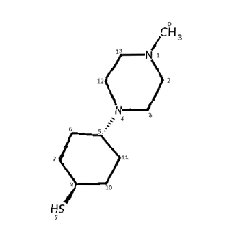 CN1CCN([C@H]2CC[C@H](S)CC2)CC1